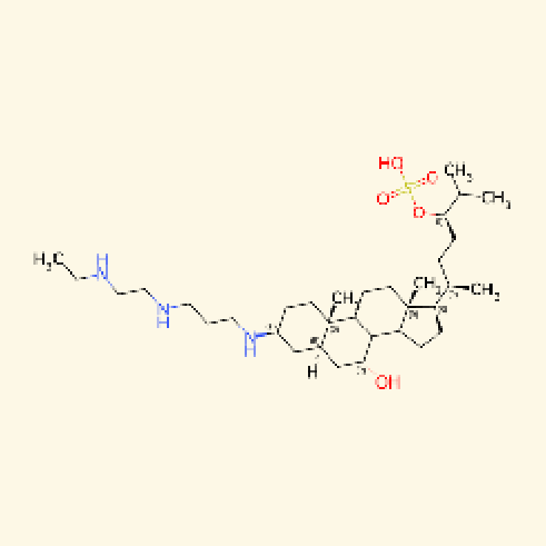 CCNCCNCCCN[C@H]1CC[C@]2(C)C3CC[C@@]4(C)C(CC[C@@H]4[C@H](C)CC[C@@H](OS(=O)(=O)O)C(C)C)C3[C@H](O)C[C@H]2C1